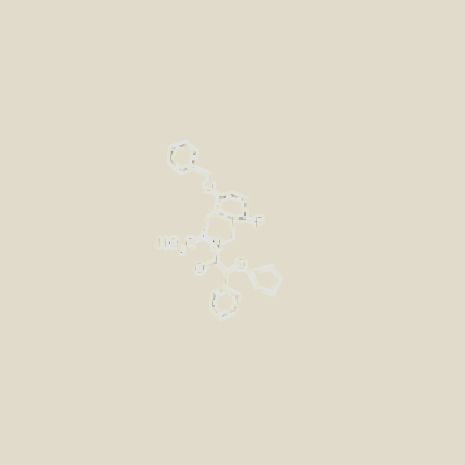 O=C(O)C1Cc2c(OCc3ccccc3)ccc(F)c2CN1C(=O)C(OC1CCCC1)c1ccccc1